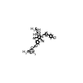 CNCC(=O)Nc1nc(SCc2csc(-c3ccc(Cl)cc3)n2)c(C#N)c(-c2ccc(OCCOC(=O)CN(C)C)cc2)c1C#N